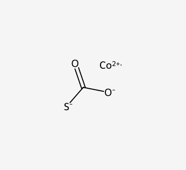 O=C([O-])[S-].[Co+2]